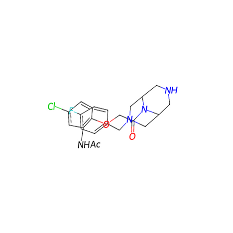 CC(=O)Nc1cc(Cl)ccc1OCC(=O)N1C2CNCC1CN(Cc1ccc(F)cc1)C2